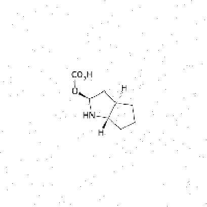 O=C(O)O[C@H]1C[C@H]2CCC[C@@H]2N1